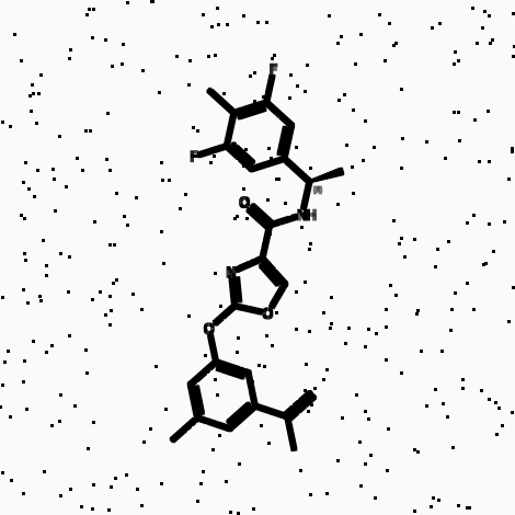 C=C(C)c1cc(C)cc(Oc2nc(C(=O)N[C@H](C)c3cc(F)c(C)c(F)c3)co2)c1